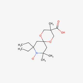 CCC1(CC)CC2(CC(C)(C)N1[O])OCC(C)(C(=O)O)CO2